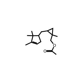 CC(=O)OCC1(C)CC1CC1CC=C(C)C1(C)C